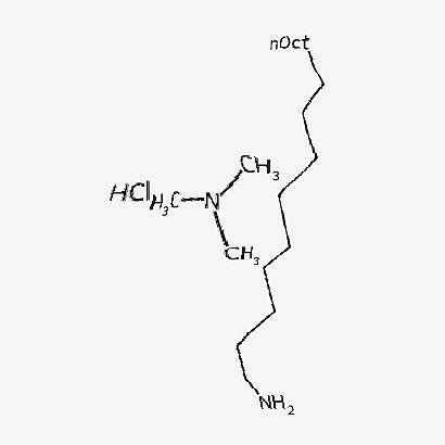 CCCCCCCCCCCCCCCCN.CN(C)C.Cl